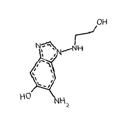 Nc1cc2c(cc1O)ncn2NCCO